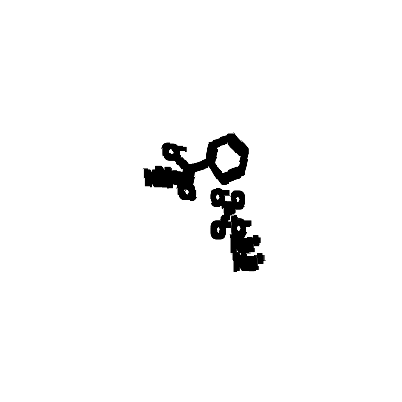 O=C([O-])c1ccccc1.O=P([O-])([O-])[O-].[Na+].[Na+].[Na+].[Na+]